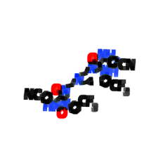 N#Cc1ccc([C@@H](N)C2=C(Nc3cccc(C(F)(F)F)c3)CN(CCCN(CCCN3CC4=C(C3=O)[C@@H](c3ccc(C#N)cc3)NC(=O)N4c3cccc(C(F)(F)F)c3)CC3CC3)C2=O)cc1